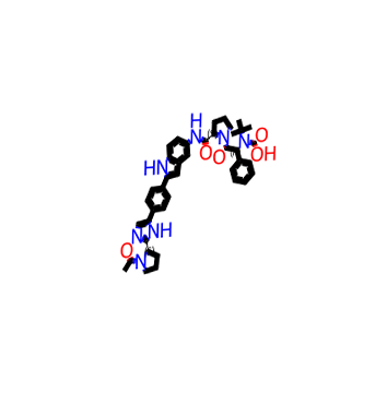 CC(=O)N1CCC[C@H]1c1ncc(-c2ccc(-c3cc4cc(NC(=O)[C@@H]5CCCN5C(=O)[C@@H](c5ccccc5)N(C(=O)O)C(C)(C)C)ccc4[nH]3)cc2)[nH]1